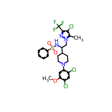 COc1cc(N2CCC(C(Cn3nc(C(F)(F)F)c(Cl)c3C)NS(=O)(=O)c3ccccc3)CC2)c(Cl)cc1Cl